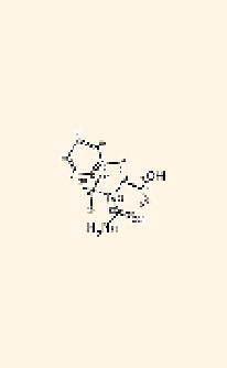 C[C@@H](O)[C@@H](Cc1ccccc1)N(C(N)=S)C(C)(C)C